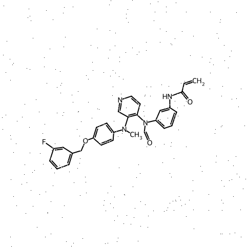 C=CC(=O)Nc1cccc(N(C=O)c2ccncc2N(C)c2ccc(OCc3cccc(F)c3)cc2)c1